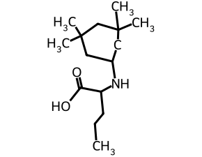 CCCC(NC1CC(C)(C)CC(C)(C)C1)C(=O)O